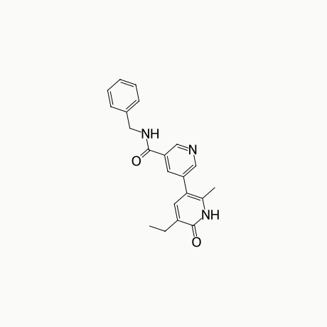 CCc1cc(-c2cncc(C(=O)NCc3ccccc3)c2)c(C)[nH]c1=O